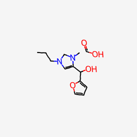 CCCN1C=C(C(O)c2ccco2)N(C)C1.O=CO